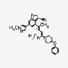 C=N/C(=C\C=C(/C)c1cc(-c2cnn(C)c2)cn2ncc(C#N)c12)N1CCC(Oc2ccccc2)CC1